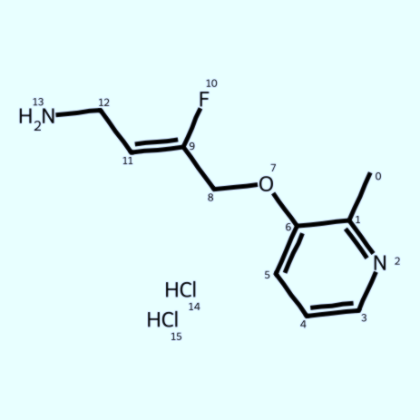 Cc1ncccc1OCC(F)=CCN.Cl.Cl